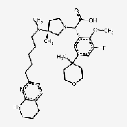 COc1c(F)cc(C2(C)CCOCC2)cc1[C@@H](C(=O)O)N1CC[C@@](C)(N(C)CCCCCc2ccc3c(n2)NCCC3)C1